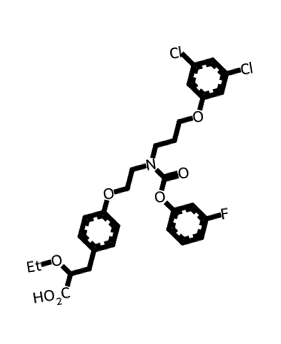 CCOC(Cc1ccc(OCCN(CCCOc2cc(Cl)cc(Cl)c2)C(=O)Oc2cccc(F)c2)cc1)C(=O)O